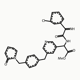 COC(=O)C(NC(=O)C(=N)c1cccc(Cl)c1)c1cncc(Cc2ccc(Cn3ccccc3=O)cc2)c1